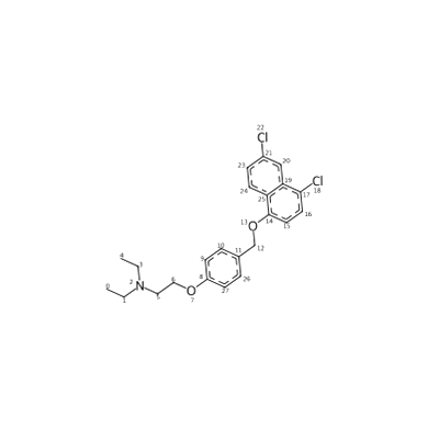 CCN(CC)CCOc1ccc(COc2ccc(Cl)c3cc(Cl)ccc23)cc1